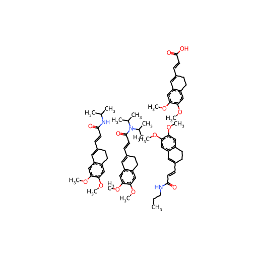 CCCNC(=O)C=CC1=Cc2cc(OC)c(OC)cc2CC1.COc1cc2c(cc1OC)CCC(C=CC(=O)N(C(C)C)C(C)C)=C2.COc1cc2c(cc1OC)CCC(C=CC(=O)NC(C)C)=C2.COc1cc2c(cc1OC)CCC(C=CC(=O)O)=C2